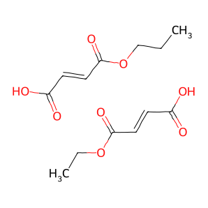 CCCOC(=O)C=CC(=O)O.CCOC(=O)C=CC(=O)O